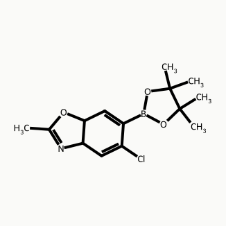 CC1=NC2C=C(Cl)C(B3OC(C)(C)C(C)(C)O3)=CC2O1